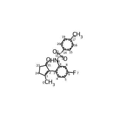 CC1=C(c2ccc(F)cc2NS(=O)(=O)c2ccc(C)cc2)C(=O)CC1